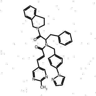 Cc1ncc(C=CC(=O)N(Cc2ccc(-n3cccn3)cc2)C(Cc2ccccc2)C(=O)N2CCc3ccccc3C2)cn1